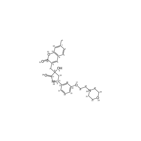 Cc1ccc2cc(CC(O)(CCc3cccc(OCCN4CCOCC4)c3)C(N)=O)c(=O)oc2c1